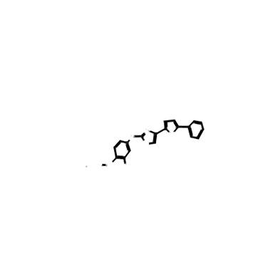 CCCCCOc1ccc(Nc2nc(-c3ccc(-c4ccccc4)s3)cs2)cc1C(F)(F)F